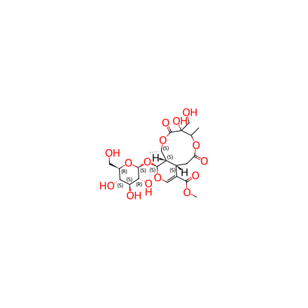 COC(=O)C1=CO[C@@H](O[C@@H]2O[C@H](CO)[C@@H](O)[C@H](O)[C@H]2O)[C@@H]2[C@H](C)OC(=O)C(O)(CO)C(C)OC(=O)C[C@H]12